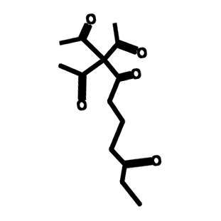 CCC(=O)CCCC(=O)C(C(C)=O)(C(C)=O)C(C)=O